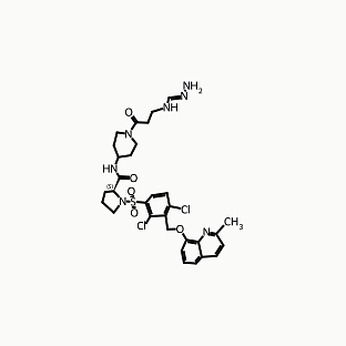 Cc1ccc2cccc(OCc3c(Cl)ccc(S(=O)(=O)N4CCC[C@H]4C(=O)NC4CCN(C(=O)CCNC=NN)CC4)c3Cl)c2n1